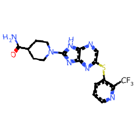 NC(=O)C1CCN(c2nc3nc(Sc4cccnc4C(F)(F)F)cnc3[nH]2)CC1